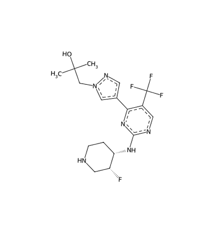 CC(C)(O)Cn1cc(-c2nc(N[C@H]3CCNC[C@H]3F)ncc2C(F)(F)F)cn1